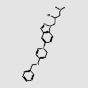 CN(C)CC(O)Cn1ncc2cc(N3C=CC(OCc4ccccc4)=CC3)ccc21